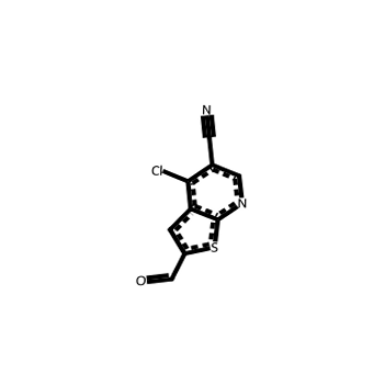 N#Cc1cnc2sc(C=O)cc2c1Cl